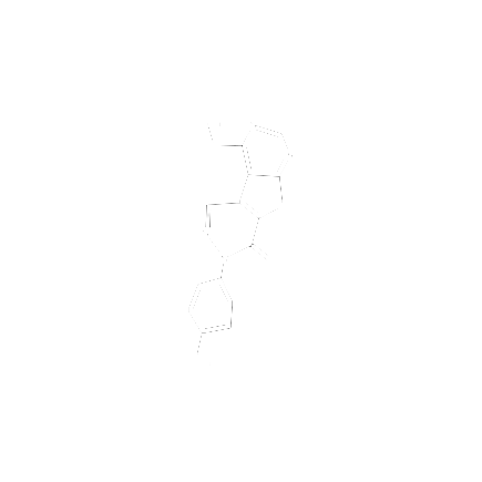 COc1ncnc2sc3c(=O)n(-c4ccc(C)cc4)ncc3c12